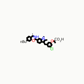 CCCCc1ccc([C@H](C)NC(=O)c2ccc3c(Cc4cc(Cl)cc(O[C@H](C)C(=O)O)c4)c(C)n(C)c3c2)cc1